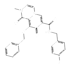 Cn1ccn2cc(C(=O)NCc3ccc(F)cc3)c(=O)c(OCc3ccccc3)c2c1=O